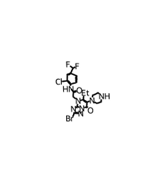 CCc1c(N2CCNCC2)c(=O)n2nc(Br)nc2n1CC(=O)Nc1ccc(C(F)F)cc1Cl